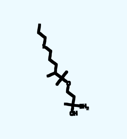 BC(C)(O)CCOC(C)(C)C(C)CCCSCCC